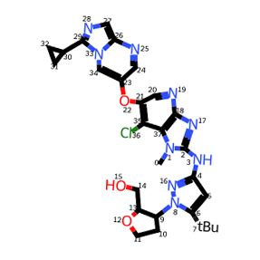 Cn1c(Nc2cc(C(C)(C)C)n(C3CCOC3CO)n2)nc2ncc(Oc3cnc4cnc(C5CC5)n4c3)c(Cl)c21